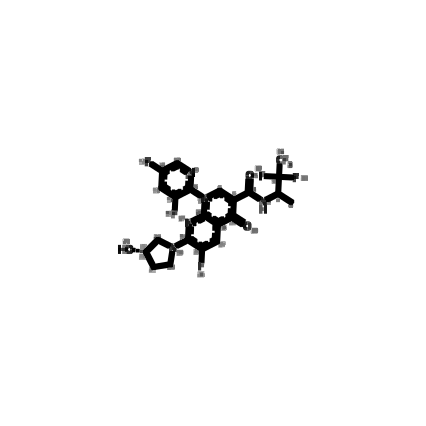 CC(NC(=O)c1cn(-c2ncc(F)cc2F)c2nc(N3CC[C@H](O)C3)c(F)cc2c1=O)C(F)(F)C(F)(F)F